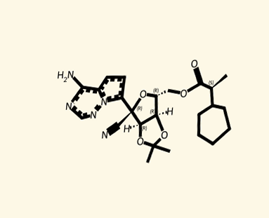 C[C@H](C(=O)OC[C@H]1O[C@@](C#N)(c2ccc3c(N)ncnn23)[C@@H]2OC(C)(C)O[C@@H]21)C1CCCCC1